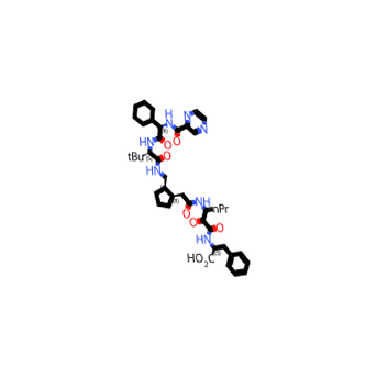 CCCC(NC(=O)C[C@H]1CCC[C@H]1CNC(=O)[C@@H](NC(=O)[C@H](NC(=O)c1cnccn1)C1CCCCC1)C(C)(C)C)C(=O)C(=O)N[C@@H](Cc1ccccc1)C(=O)O